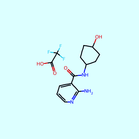 Nc1ncccc1C(=O)NC1CCC(O)CC1.O=C(O)C(F)(F)F